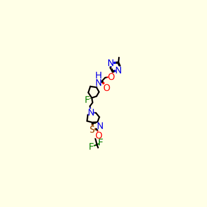 Cc1cnc(OCC(=O)N[C@H]2CC[C@](F)(CCN3CCc4nc(OCC(C)(F)F)sc4CC3)CC2)cn1